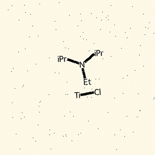 [CH2]CN(C(C)C)C(C)C.[Cl][Ti]